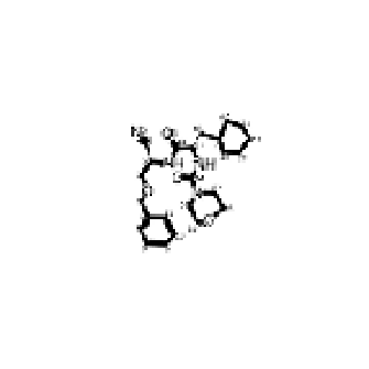 N#C[C@H](COCc1ccccc1)NC(=O)[C@H](CC1CCCCC1)NC(=O)N1CCOCC1